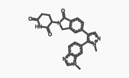 Cn1ncc(-c2ccc3c(c2)CN(C2CCC(=O)NC2=O)C3=O)c1-c1ccc2ncn(C)c2c1